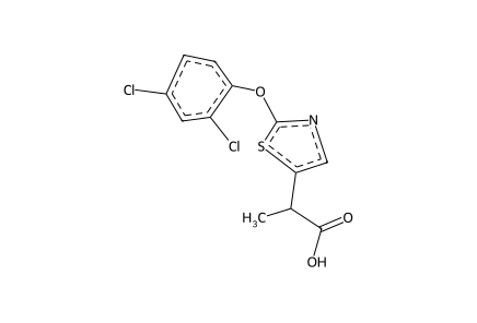 CC(C(=O)O)c1cnc(Oc2ccc(Cl)cc2Cl)s1